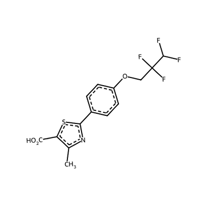 Cc1nc(-c2ccc(OCC(F)(F)C(F)F)cc2)sc1C(=O)O